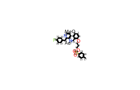 COc1ccc(OCCCOS(=O)(=O)c2ccc(C)cc2)c(CN(C(C)=O)c2cccnc2Cc2ccc(F)cc2)c1